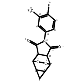 O=C1C2C3CCC(C4CC43)C2C(=O)N1c1ccc(F)c(C(F)(F)F)c1